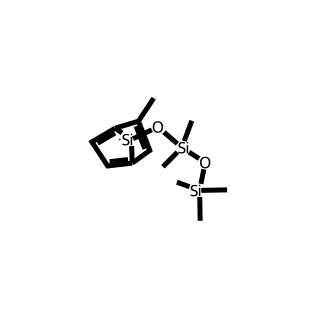 CC1=CC2=CC=C1[Si]2O[Si](C)(C)O[Si](C)(C)C